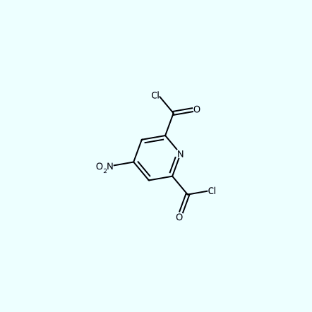 O=C(Cl)c1cc([N+](=O)[O-])cc(C(=O)Cl)n1